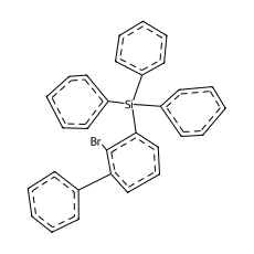 Brc1c(-c2ccccc2)cccc1[Si](c1ccccc1)(c1ccccc1)c1ccccc1